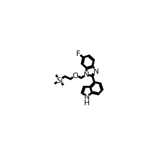 C[Si](C)(C)CCOCn1c(-c2cccc3[nH]ccc23)nc2ccc(F)cc21